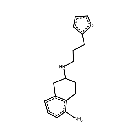 Nc1cccc2c1CCC(NCCCc1ccco1)C2